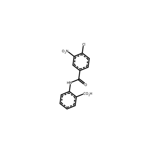 O=C(Nc1ccccc1C(=O)O)c1ccc(Cl)c([N+](=O)[O-])c1